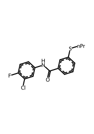 CCCSc1cccc(C(=O)Nc2ccc(F)c(Cl)c2)c1